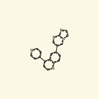 c1cc(-c2ccnc3ccc(-c4cnc5nccn5c4)cc23)ccn1